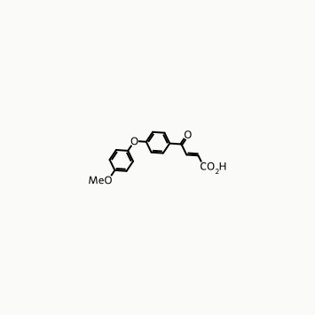 COc1ccc(Oc2ccc(C(=O)C=CC(=O)O)cc2)cc1